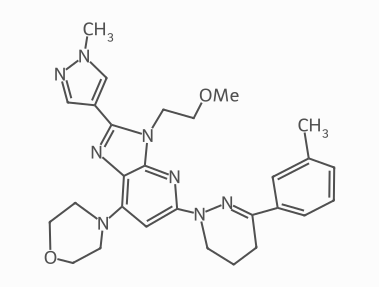 COCCn1c(-c2cnn(C)c2)nc2c(N3CCOCC3)cc(N3CCCC(c4cccc(C)c4)=N3)nc21